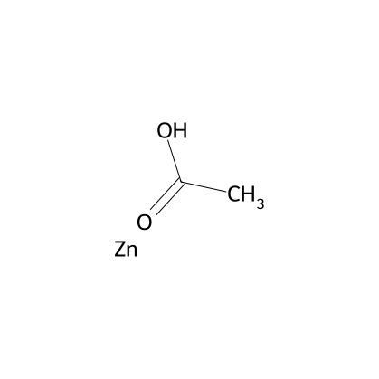 CC(=O)O.[Zn]